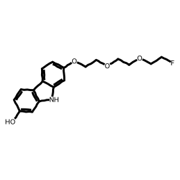 Oc1ccc2c(c1)[nH]c1cc(OCCOCCOCCF)ccc12